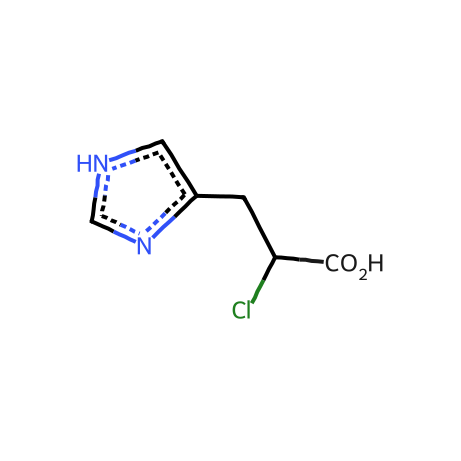 O=C(O)C(Cl)Cc1c[nH]cn1